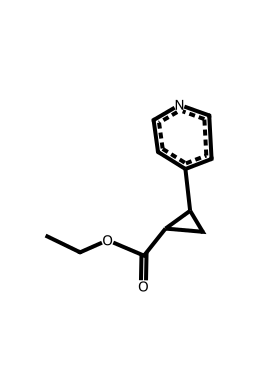 CCOC(=O)C1CC1c1ccncc1